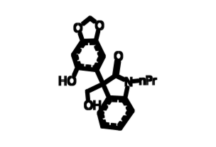 C[CH]CN1C(=O)C(CO)(c2cc3c(cc2O)OCO3)c2ccccc21